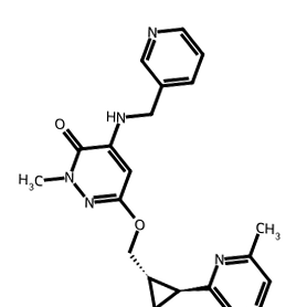 Cc1cccc([C@H]2C[C@@H]2COc2cc(NCc3cccnc3)c(=O)n(C)n2)n1